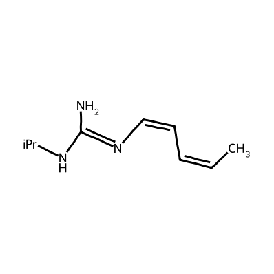 C\C=C/C=C\N=C(/N)NC(C)C